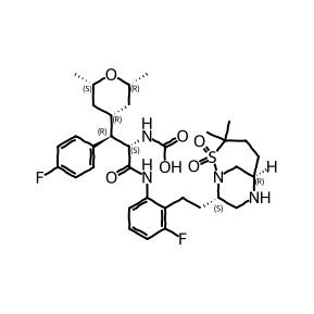 C[C@@H]1C[C@H]([C@H](c2ccc(F)cc2)[C@H](NC(=O)O)C(=O)Nc2cccc(F)c2CC[C@H]2CN[C@@H]3CCC(C)(C)S(=O)(=O)N2C3)C[C@H](C)O1